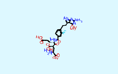 Nc1nc(O)c2c(CCc3ccc(C(=O)N[C@@H](CCC(=O)O)C(=O)C(C[C@H](N)C(=O)O)C(=O)O)cc3F)c[nH]c2n1